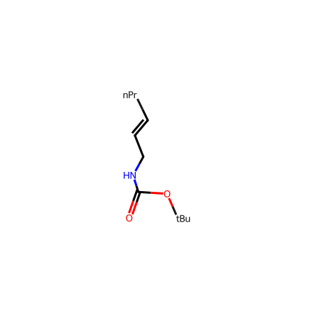 CCCC=CCNC(=O)OC(C)(C)C